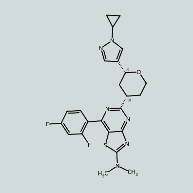 CN(C)c1nc2nc([C@H]3CCO[C@@H](c4cnn(C5CC5)c4)C3)nc(-c3ccc(F)cc3F)c2s1